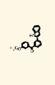 COc1cccc(C(=O)c2cccc(-c3cc4ccccc4[nH]3)c2)c1